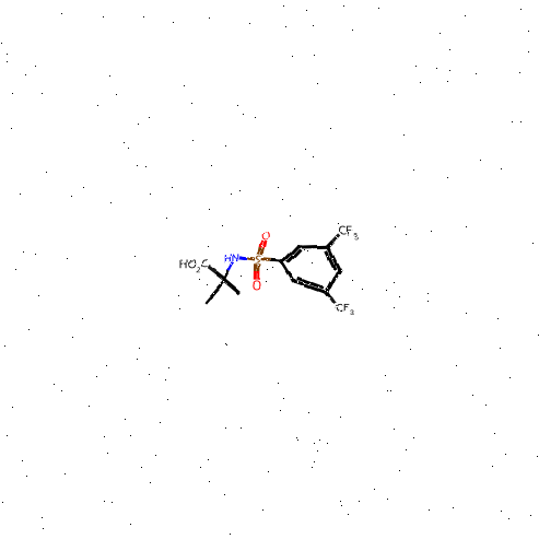 CC(C)(NS(=O)(=O)c1cc(C(F)(F)F)cc(C(F)(F)F)c1)C(=O)O